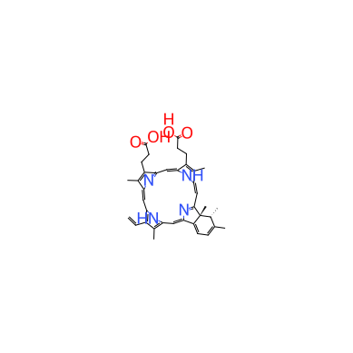 C=Cc1c(C)c2cc3nc(cc4[nH]c(cc5nc(cc1[nH]2)C(C)=C5CCC(=O)O)c(CCC(=O)O)c4C)[C@@]1(C)C3=CC=C(C)[C@H]1C